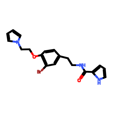 O=C(NCCc1ccc(OCCn2cccc2)c(Br)c1)c1ccc[nH]1